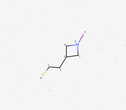 FCCC1CN(I)C1